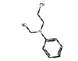 N#CCCN(CC#N)c1cc[c]cc1